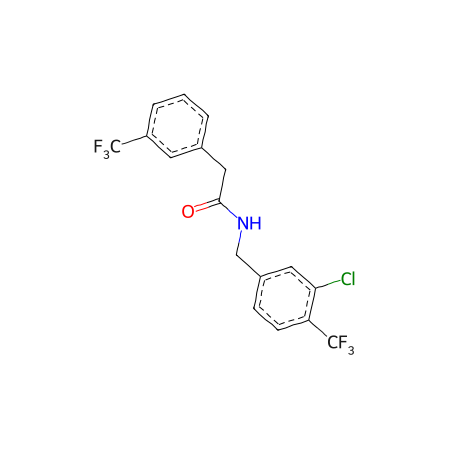 O=C(Cc1cccc(C(F)(F)F)c1)NCc1ccc(C(F)(F)F)c(Cl)c1